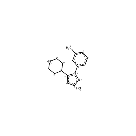 Cc1cccc(-n2nccc2C2CCNCC2)c1.Cl